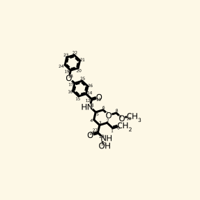 C=CCC(CC(COCOC)NC(=O)c1ccc(Oc2ccccc2)cc1)C(=O)NO